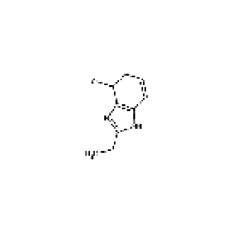 CCc1nc2c([nH]1)C=CCC2Cl